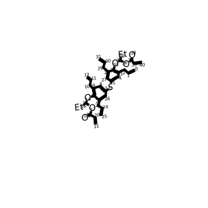 C=CCc1cc(Sc2cc(CC=C)c(OC(CC)OC(=O)C=C)c(CC=C)c2)cc(CC=C)c1OC(CC)OC(=O)C=C